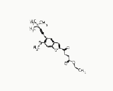 CCOC(=O)CCC(=O)c1cc2cc(C#CS(C)(C)C)c(OC)cc2s1